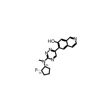 CN(c1ncc(-c2cc3ccncc3cc2O)nn1)[C@H]1CCC[C@@H]1F